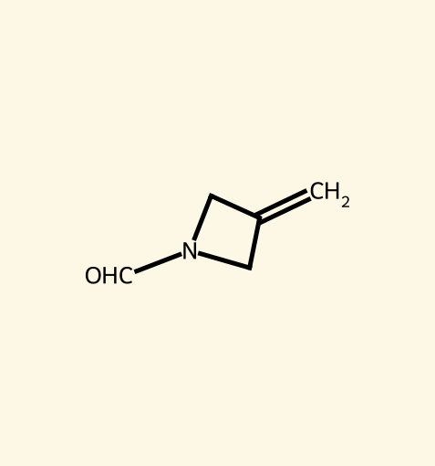 C=C1CN(C=O)C1